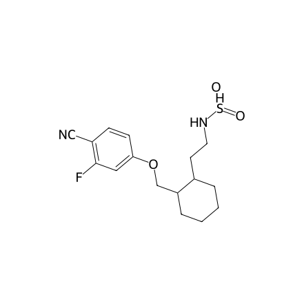 N#Cc1ccc(OCC2CCCCC2CCN[SH](=O)=O)cc1F